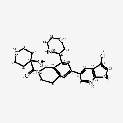 O=C(N1CCc2cc(-c3cnc4[nH]cc(Cl)c4c3)cc(C3COCCN3)c2C1)C1(O)CCOCC1